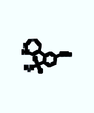 COc1ccc(S(N)(=O)=O)c(C2=CNN=CC=C2)c1